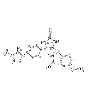 COc1ccc2c(c1)C(=O)N(C[C@]1(c3ccc(-c4cnc(C)[nH]4)cc3)NC(=O)NC1=O)C2